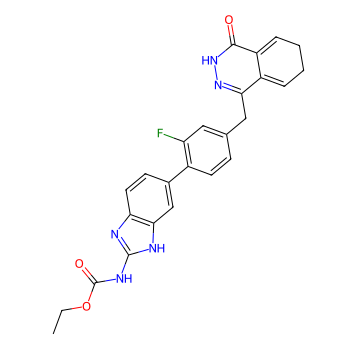 CCOC(=O)Nc1nc2ccc(-c3ccc(Cc4n[nH]c(=O)c5c4=CCCC=5)cc3F)cc2[nH]1